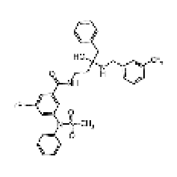 CCCc1cc(C(=O)NCCC(O)(Cc2ccccc2)NCc2cccc(C(F)(F)F)c2)cc(N(c2ccccc2)S(C)(=O)=O)c1